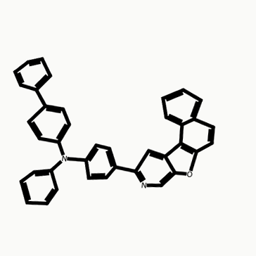 c1ccc(-c2ccc(N(c3ccccc3)c3ccc(-c4cc5c(cn4)oc4ccc6ccccc6c45)cc3)cc2)cc1